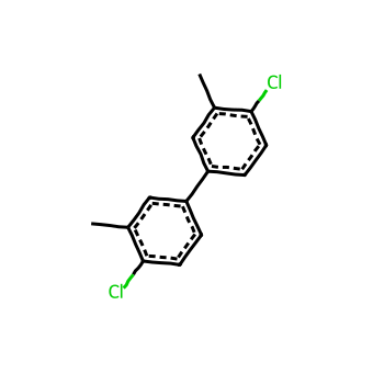 Cc1cc(-c2ccc(Cl)c(C)c2)ccc1Cl